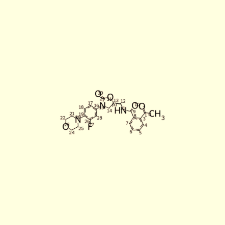 CC(=O)c1ccccc1C(=O)NC[C@H]1CN(c2ccc(N3CCOCC3)c(F)c2)C(=O)O1